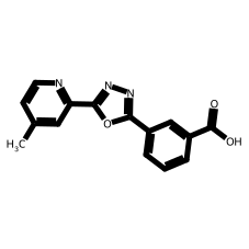 Cc1ccnc(-c2nnc(-c3cccc(C(=O)O)c3)o2)c1